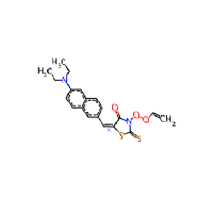 C=COON1C(=O)/C(=C\c2ccc3cc(N(CC)CC)ccc3c2)SC1=S